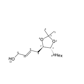 CCCCCC[C@H]1OC(C)(C)O[C@@H]1C/C=C/CO